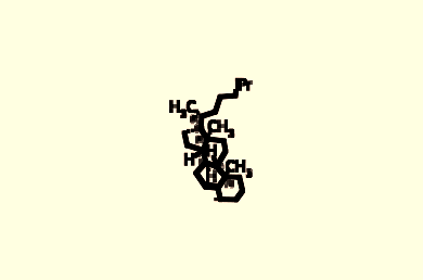 CC(C)CCC[C@@H](C)[C@H]1CC[C@H]2[C@@H]3CC=C4[CH]CCC[C@]4(C)[C@H]3CC[C@]12C